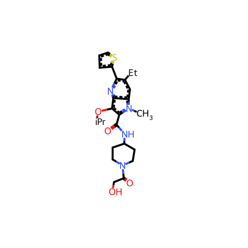 CCc1cc2c(nc1-c1cccs1)c(OC(C)C)c(C(=O)NC1CCN(C(=O)CO)CC1)n2C